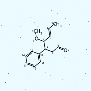 CC=CC(OC)C(CC=O)c1ccccc1